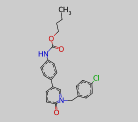 CCCCOC(=O)Nc1ccc(-c2ccc(=O)n(Cc3ccc(Cl)cc3)c2)cc1